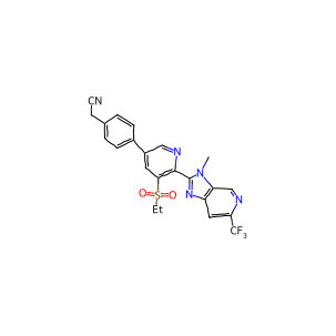 CCS(=O)(=O)c1cc(-c2ccc(CC#N)cc2)cnc1-c1nc2cc(C(F)(F)F)ncc2n1C